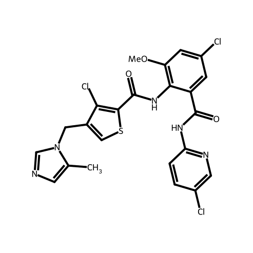 COc1cc(Cl)cc(C(=O)Nc2ccc(Cl)cn2)c1NC(=O)c1scc(Cn2cncc2C)c1Cl